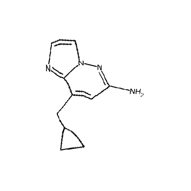 Nc1cc(CC2CC2)c2nccn2n1